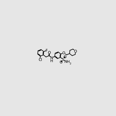 NS(=O)(=O)c1cc(NC(=O)Cc2c(F)cccc2Cl)ccc1OCC1CCOCC1